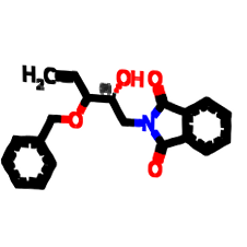 C=CC(OCc1ccccc1)[C@H](O)CN1C(=O)c2ccccc2C1=O